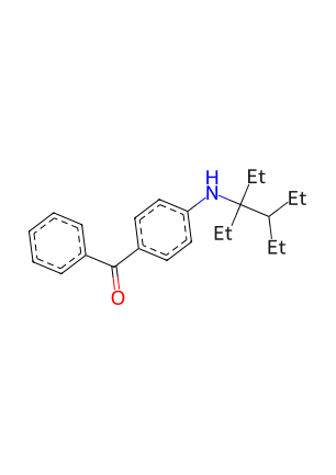 CCC(CC)C(CC)(CC)Nc1ccc(C(=O)c2ccccc2)cc1